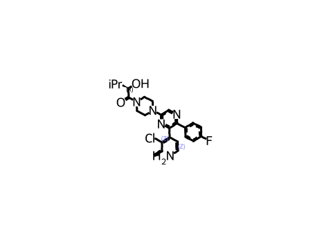 C=C/C(Cl)=C(\C=C/N)c1nc(N2CCN(C(=O)[C@H](O)C(C)C)CC2)cnc1-c1ccc(F)cc1